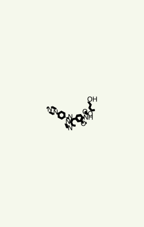 COc1cc(-c2nc([C@H]3CC[C@H](N4CCN(C)CC4)CC3)n3ccnc(C)c23)ccc1NC(=O)OC(C)CCCO